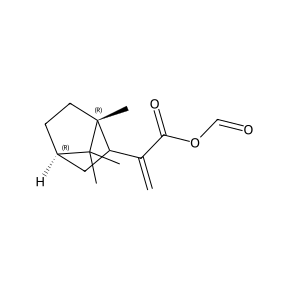 C=C(C(=O)OC=O)C1C[C@H]2CC[C@@]1(C)C2(C)C